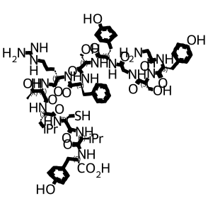 CC(C)C[C@H](NC(=O)[C@@H](NC(=O)[C@H](CCCNC(=N)N)NC(=O)[C@H](Cc1ccccc1)NC(=O)[C@H](CO)NC(=O)[C@H](Cc1ccc(O)cc1)NC(=O)CNC(=O)[C@H](CO)NC(=O)[C@H](Cc1ccc(O)cc1)NC(=O)CN)[C@@H](C)O)C(=O)N[C@@H](CS)C(=O)N[C@H](C(=O)N[C@@H](Cc1ccc(O)cc1)C(=O)O)C(C)C